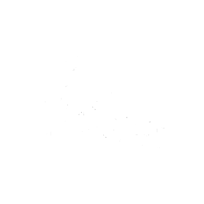 CCN(C(=O)Cn1nc(-c2cccc(Cl)c2)c2oc(C3CC3)cc2c1=O)c1ccc2c(c1)OC(F)(F)O2